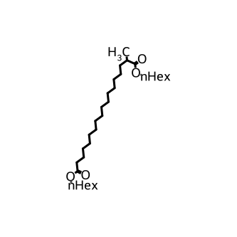 CCCCCCOC(=O)CCCCCCCCCCCCCCCC(C)C(=O)OCCCCCC